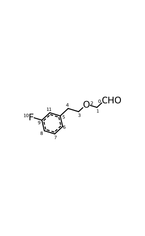 O=CCOCCc1cccc(F)c1